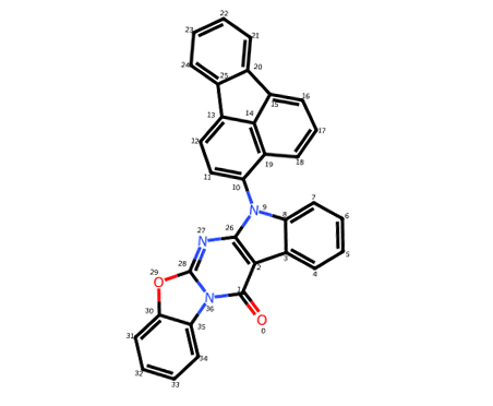 O=c1c2c3ccccc3n(-c3ccc4c5c(cccc35)-c3ccccc3-4)c2nc2oc3ccccc3n12